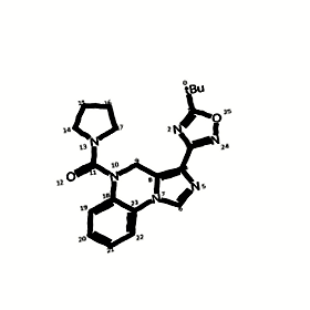 CC(C)(C)c1nc(-c2ncn3c2CN(C(=O)N2CCCC2)c2ccccc2-3)no1